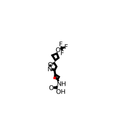 O=C(O)NC12CC(C3=NOC([C@H]4C[C@@H](OC(F)(F)F)C4)C3)(C1)C2